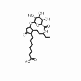 CCCCCC1C(OC2O[C@H](C(=O)O)[C@@H](O)[C@H](O)[C@H]2O)CC(=O)C1CCCCCCC(=O)O